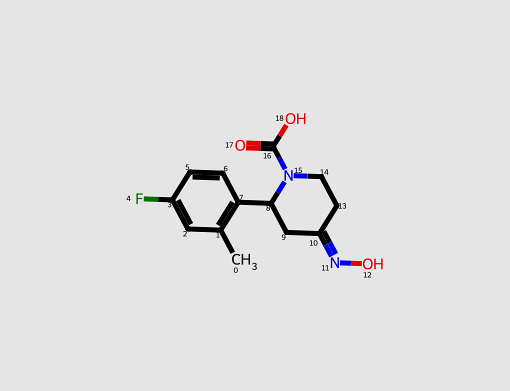 Cc1cc(F)ccc1C1C/C(=N/O)CCN1C(=O)O